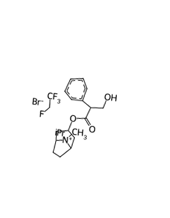 CC(C)[N+]1(C)C2CCC1CC(OC(=O)C(CO)c1ccccc1)C2.FCC(F)(F)F.[Br-]